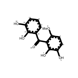 COc1ccc(O)c(O)c1C(=O)c1cccc(O)c1O